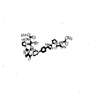 COC(=O)NC(C(=O)N1CCC[C@H]1c1ncc(-c2ccc(N3CCN(C(=O)c4cnc([C@@H]5CCCN5C(=O)[C@H](C(C)C)N(O)C(=O)OC)n4O)CC3)cc2)[nH]1)C(C)C